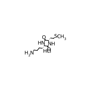 CSCC[C@@H]1NC(=O)[C@H](CCCCN)NC1=O.Cl